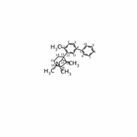 Cc1ccc(-c2ccccc2)cc1C12CCC(C)(CC1)N(C)C2C